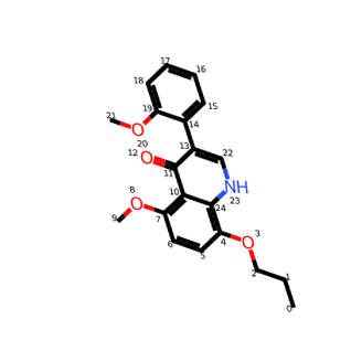 CCCOc1ccc(OC)c2c(=O)c(-c3ccccc3OC)c[nH]c12